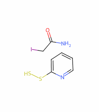 NC(=O)CI.SSc1ccccn1